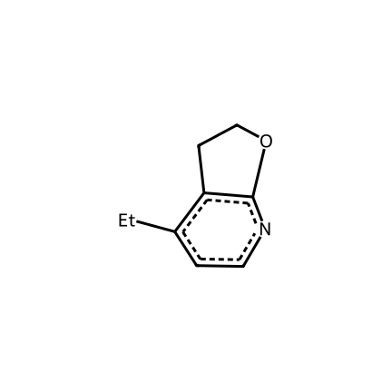 CCc1ccnc2c1CCO2